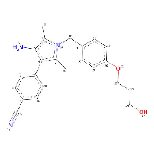 Cc1c(N)c(-c2ccc(C#N)cc2)c(C)n1Cc1ccc(OCCCO)cc1